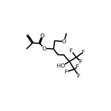 C=C(C)C(=O)OC(CCC(O)(C(F)(F)F)C(F)(F)F)COC